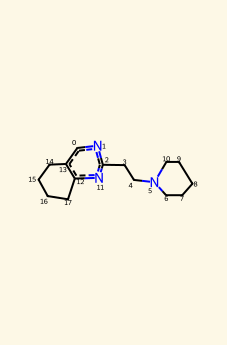 c1nc(CCN2CCCCC2)nc2c1CCCC2